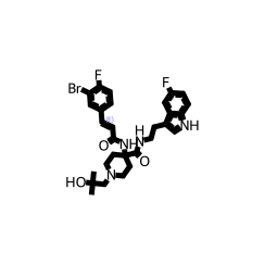 CC(C)(O)CN1CCC(NC(=O)/C=C/c2ccc(F)c(Br)c2)(C(=O)NCCc2c[nH]c3ccc(F)cc23)CC1